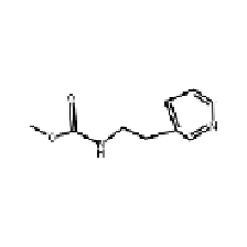 COC(=O)NCCc1cc[c]nc1